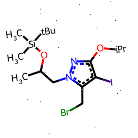 CC(C)Oc1nn(CC(C)O[Si](C)(C)C(C)(C)C)c(CBr)c1I